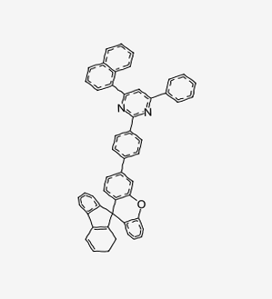 C1=CC2=C(CC1)C1(c3ccccc3Oc3cc(-c4ccc(-c5nc(-c6ccccc6)cc(-c6cccc7ccccc67)n5)cc4)ccc31)c1ccccc12